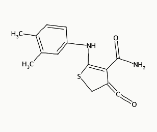 Cc1ccc(NC2=C(C(N)=O)C(=C=O)CS2)cc1C